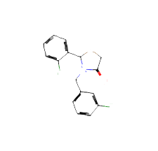 O=C1CSC(c2ccccc2Cl)N1Cc1cccc(F)c1